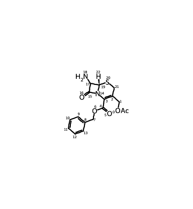 CC(=O)OCC1=C(C(=O)OCc2ccccc2)N2C(=O)C(N)[C@@H]2SC1